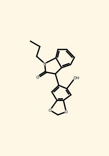 C[CH]CN1C(=O)C(c2cc3c(cc2O)OCO3)c2ccccc21